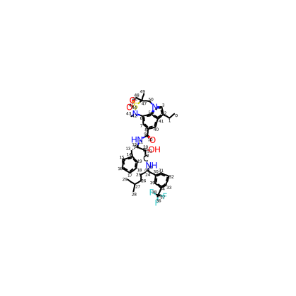 CCc1cn2c3c(cc(C(=O)N[C@@H](Cc4ccccc4)[C@H](O)CN[C@H](CCC(C)C)c4cccc(C(F)(F)F)c4)cc13)N(C)S(=O)(=O)C(C)(C)C2